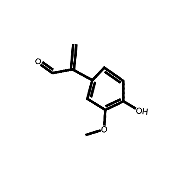 C=C(C=O)c1ccc(O)c(OC)c1